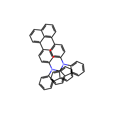 c1cc(-c2ccc(-n3c4ccccc4c4ccccc43)cc2)c2c(-c3ccc(-n4c5ccccc5c5ccccc54)cc3)cccc2c1